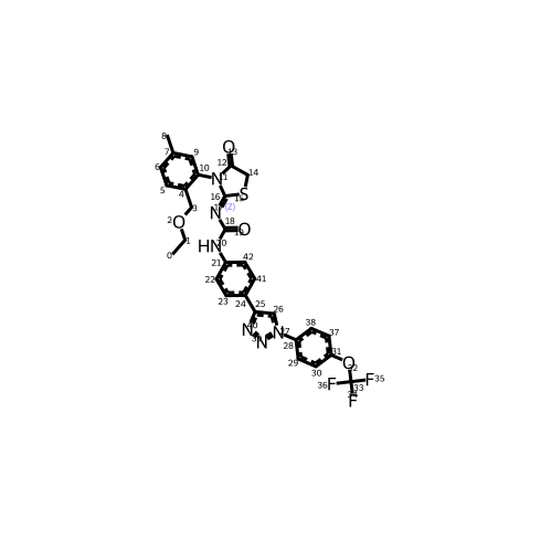 CCOCc1ccc(C)cc1N1C(=O)CS/C1=N\C(=O)Nc1ccc(-c2cn(-c3ccc(OC(F)(F)F)cc3)nn2)cc1